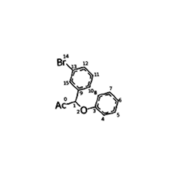 CC(=O)C(Oc1ccccc1)c1cccc(Br)c1